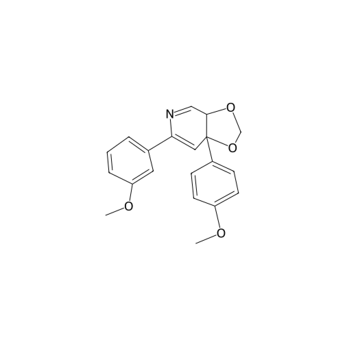 COc1ccc(C23C=C(c4cccc(OC)c4)N=CC2OCO3)cc1